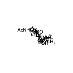 CC(=O)Nc1ccc2ccn(C(=O)c3ccc(Nc4snc(O)c4C(=N)NC(C)CC4CC4)cc3N=O)c2c1